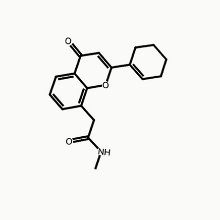 CNC(=O)Cc1cccc2c(=O)cc(C3=CCCCC3)oc12